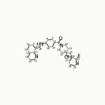 O=C(c1ccc(NSc2cccc3cccnc23)cc1)N1CCC(O)(Cc2cccnc2F)CC1